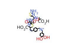 CC(C)(O/N=C(\C(=O)N[C@@H]1C(=O)N2C(C(=O)O)=C(/C=C\c3ccc(C[N+](C)(C)Cc4ccc(O)c(O)c4)cc3)CS[C@H]12)c1csc(N)n1)C(=O)O